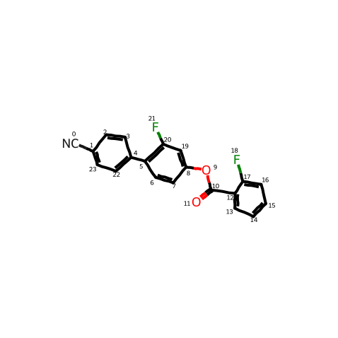 N#Cc1ccc(-c2ccc(OC(=O)c3ccccc3F)cc2F)cc1